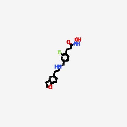 O=C(/C=C/c1ccc(CNCCc2ccc3occc3c2)cc1F)NO